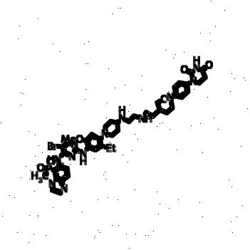 CCc1cc(Nc2ncc(Br)c(Nc3ccc4nccnc4c3P(C)(C)=O)n2)c(OC)cc1N1CCC(NCCNCCC2CCN(c3ccc(N4CCC(=O)NC4=O)cc3)CC2)CC1